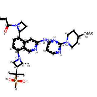 C=CC(=O)N1CC[C@H]1c1ccc(N2C[C@H](C(C)(C)S(C)(=O)=O)[C@H]2C)c2cnc(Nc3ccnc(N4CCC(OC)CC4)n3)cc12